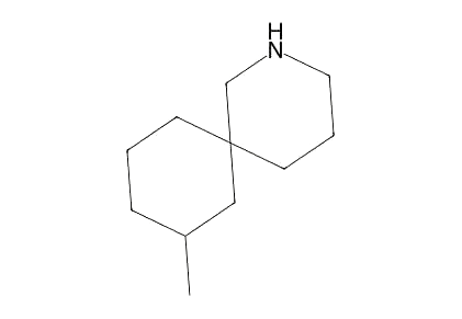 CC1CCCC2(CCCNC2)C1